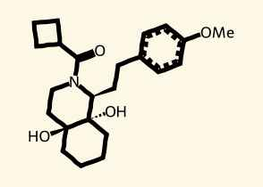 COc1ccc(CC[C@@H]2N(C(=O)C3CCC3)CC[C@@]3(O)CCCC[C@]23O)cc1